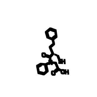 O=C(O)CN(C(=O)[C@@H](CS)CCc1ccccc1)c1ccccc1